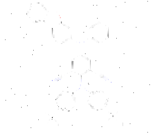 CC(C)(C)c1ccc2c(c1)c1cc(C(C)(C)C)ccc1n2-c1c(C#N)cc(N(c2ccccc2)c2ccc3c(c2)oc2ccccc23)cc1C#N